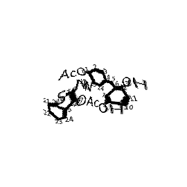 CC(=O)Oc1ccc(Cc2cc(O)ccc2O)cc1N=Nc1sc2ccccc2c1OC(C)=O